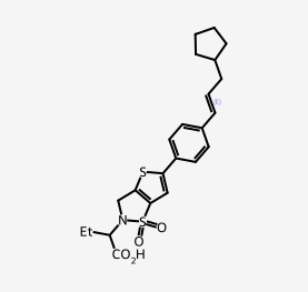 CCC(C(=O)O)N1Cc2sc(-c3ccc(/C=C/CC4CCCC4)cc3)cc2S1(=O)=O